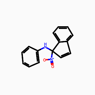 O=[N+]([O-])C1(Nc2ccccc2)C=Cc2ccccc21